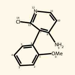 COc1ccccc1-c1c(N)ccnc1Cl